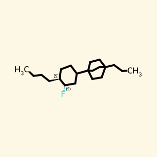 CCCC[C@H]1CCC(C23CCC(CCC)(CC2)CC3)C[C@@H]1F